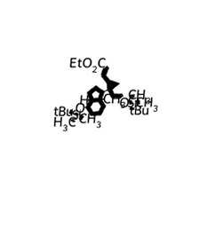 CCOC(=O)C=CC1CC1(CCO[Si](C)(C)C(C)(C)C)[C@H]1CC[C@H]2[C@@H](O[Si](C)(C)C(C)(C)C)CCC[C@]12C